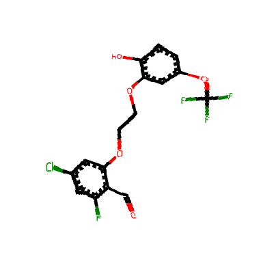 O=Cc1c(F)cc(Cl)cc1OCCOc1cc(OC(F)(F)F)ccc1O